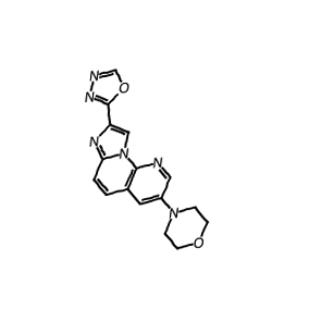 c1nnc(-c2cn3c(ccc4cc(N5CCOCC5)cnc43)n2)o1